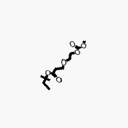 CCC(C)(C)OC(=O)CCOCCOC(=O)OC